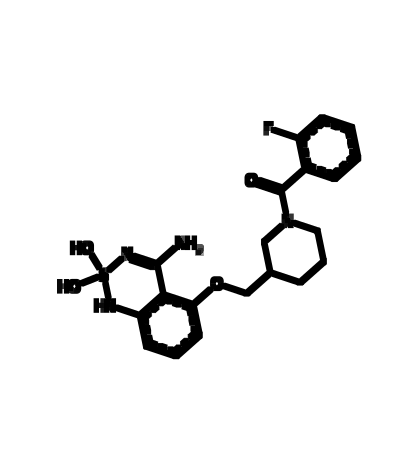 NC1=NS(O)(O)Nc2cccc(OCC3CCCN(C(=O)c4ccccc4F)C3)c21